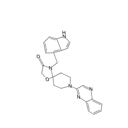 O=C1COC2(CCN(c3cnc4ccccc4n3)CC2)N1Cc1cccc2[nH]ccc12